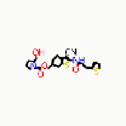 N#Cc1c(NC(=O)C=Cc2cccs2)sc2c1CCC(COC(=O)N1CCCC1CO)C2